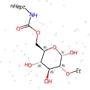 CCCCCCCNC(=O)OC[C@H]1O[C@H](O)[C@H](OCC)[C@@H](O)[C@@H]1O